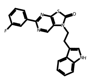 O=c1sc2nc(-c3cccc(F)c3)ncc2n1CCc1c[nH]c2ccccc12